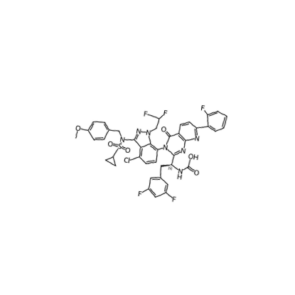 COc1ccc(CN(c2nn(CC(F)F)c3c(-n4c([C@H](Cc5cc(F)cc(F)c5)NC(=O)O)nc5nc(-c6ccccc6F)ccc5c4=O)ccc(Cl)c23)S(=O)(=O)C2CC2)cc1